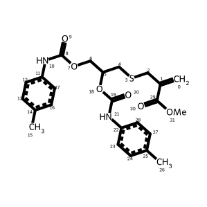 C=C(CSCC(COC(=O)Nc1ccc(C)cc1)OC(=O)Nc1ccc(C)cc1)C(=O)OC